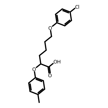 Cc1ccc(OC(CCCCOc2ccc(Cl)cc2)C(=O)O)cc1